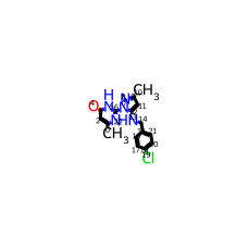 Cc1cc(=O)[nH]c(-n2nc(C)cc2NCc2ccc(Cl)cc2)n1